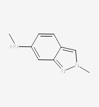 CNc1ccc2cn(C)nc2c1